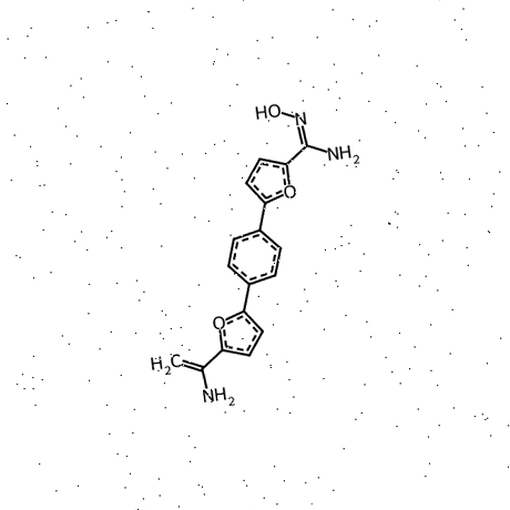 C=C(N)c1ccc(-c2ccc(-c3ccc(/C(N)=N\O)o3)cc2)o1